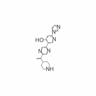 C=C(c1cnc(-c2cnc(-n3ccnc3)cc2O)cn1)C1CCNCC1